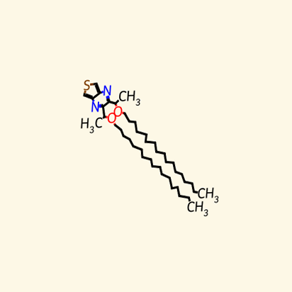 CCCCCCCCCCCCCCCCCOC(C)c1nc2cscc2nc1C(C)OCCCCCCCCCCCCCCCCC